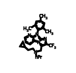 CCCN(CCC1CC1)Cc1c(C(F)(F)F)nc2n(-c3c(C)cc(C)cc3C)c3ncccc3n12